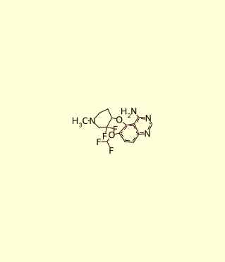 CN1CCC(Oc2c(OC(F)F)ccc3ncnc(N)c23)C(F)(F)C1